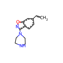 C=Cc1ccc2c(N3CCNCC3)noc2c1